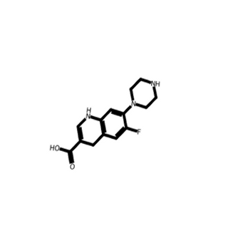 O=C(O)C1=CNc2cc(N3CCNCC3)c(F)cc2C1